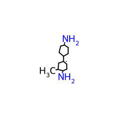 CC1C[C](C2CCC(N)CC2)CCC1N